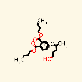 CC(C)CC=CO.CCCCOC(=O)c1ccccc1C(=O)OCCCC